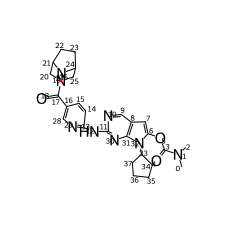 CN(C)C(=O)Oc1cc2cnc(Nc3ccc(C(=O)N4CC5CCC(C4)N5C)cn3)nc2n1C1CCCC1